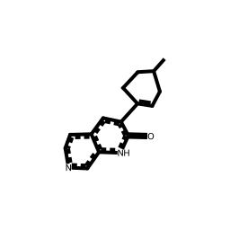 CC1CC=C(c2cc3ccncc3[nH]c2=O)CC1